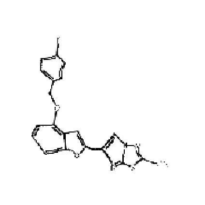 Cc1nn2cc(-c3cc4c(OCc5ccc(F)cc5)cccc4o3)nc2s1